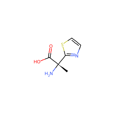 C[C@@](N)(C(=O)O)c1nccs1